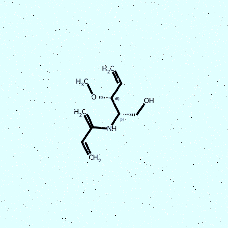 C=CC(=C)N[C@@H](CO)[C@@H](C=C)OC